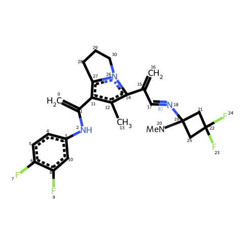 C=C(Nc1ccc(F)c(F)c1)c1c(C)c(C(=C)/C=N/C2(NC)CC(F)(F)C2)n2c1CCC2